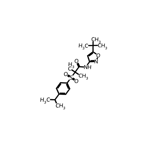 CC(C)c1ccc(S(=O)(=O)C(C)(C)C(=O)Nc2cc(C(C)(C)C)on2)cc1